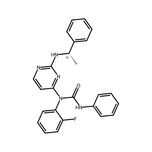 C[C@H](Nc1nccc(N(C(=O)Nc2ccccc2)c2ccccc2F)n1)c1ccccc1